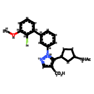 CC(=O)NC1CCC(c2c(C(=O)O)cnn2-c2cccc(-c3cccc(OC(C)C)c3F)c2)C1